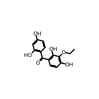 CCOc1c(O)ccc(C(=O)c2ccc(O)cc2O)c1O